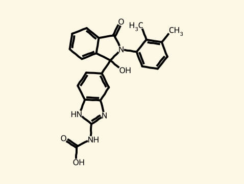 Cc1cccc(N2C(=O)c3ccccc3C2(O)c2ccc3[nH]c(NC(=O)O)nc3c2)c1C